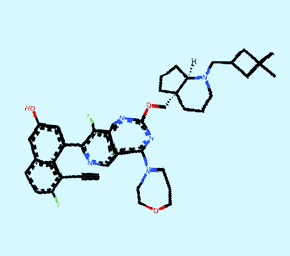 C#Cc1c(F)ccc2cc(O)cc(-c3ncc4c(N5CCCOCC5)nc(OC[C@]56CCC[C@H]5N(CC5CC(C)(C)C5)CCC6)nc4c3F)c12